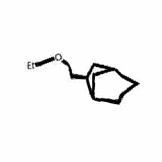 C[CH]OCC1CC2CCC1C2